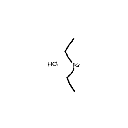 CC[As]CC.Cl